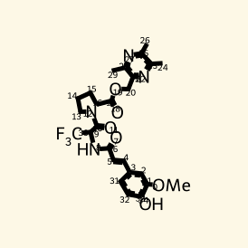 COc1cc(/C=C/C(=O)NC(C(=O)N2CCCC2C(=O)OCc2nc(C)c(C)nc2C)C(F)(F)F)ccc1O